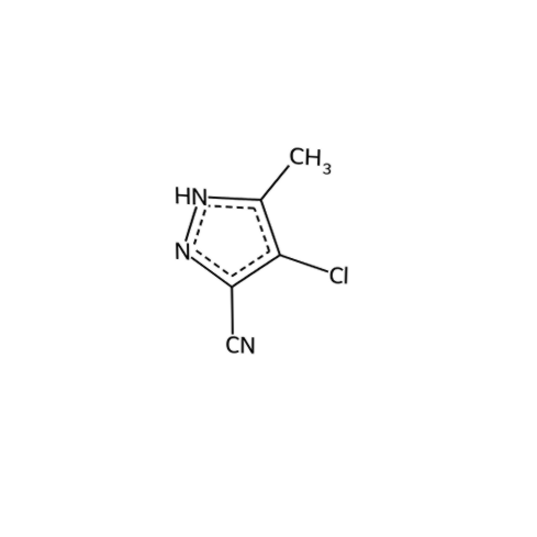 Cc1[nH]nc(C#N)c1Cl